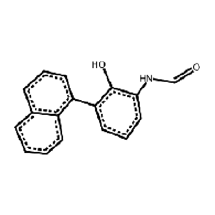 O=CNc1cccc(-c2cccc3ccccc23)c1O